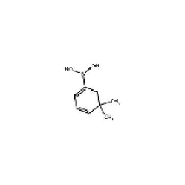 CC1(C)C=CC=C(B(O)O)C1